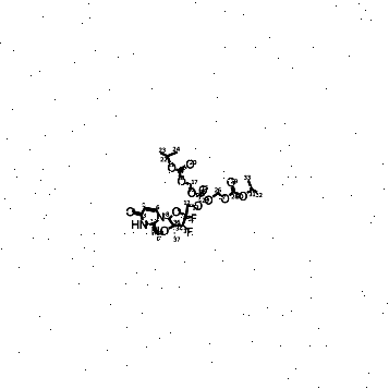 C=C1NC(=O)C=CN1[C@@H]1O[C@](F)(COP(=O)(OCOC(=O)OC(C)C)OCOC(=O)OC(C)C)[C@@H](F)[C@@]1(C)O